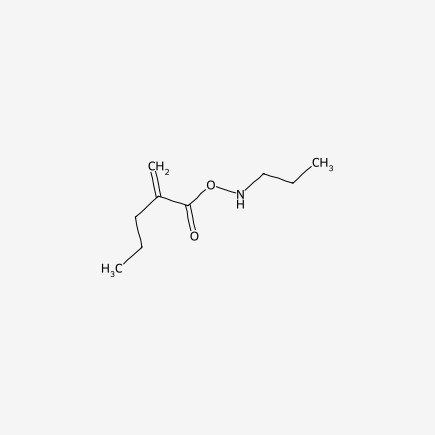 C=C(CCC)C(=O)ONCCC